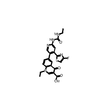 CCNC(=O)Nc1cc(-c2nc(F)cs2)c(-c2ccc3c(c2)c(=O)c(C(=O)O)cn3CC)cn1